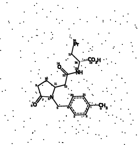 Cc1ccc(CN2C(=O)CCC2CC(=O)N[C@H](CC(C)C)C(=O)O)cc1